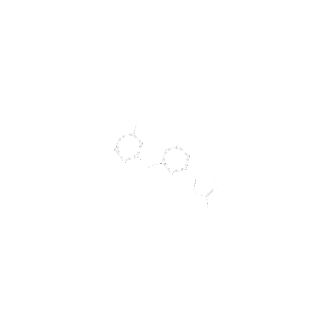 CC1=NCC(c2cccc(Nc3cc(C)ccn3)n2)O1